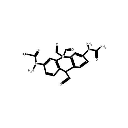 NC(=O)N(N)c1ccc2c(c1)S(C=O)(C=O)c1cc(N(N)C(N)=O)ccc1C2C=O